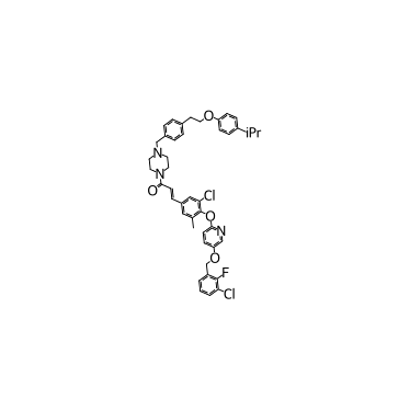 Cc1cc(C=CC(=O)N2CCN(Cc3ccc(CCOc4ccc(C(C)C)cc4)cc3)CC2)cc(Cl)c1Oc1ccc(OCc2cccc(Cl)c2F)cn1